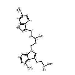 CCCN(CC)CCc1cn(CCN(CCC)CCc2c[nH]c3cc(N)ccc23)c2cccc(N)c12